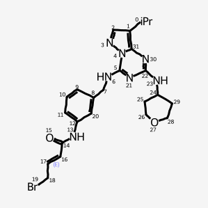 CC(C)c1cnn2c(NCc3cccc(NC(=O)/C=C/CBr)c3)nc(NC3CCOCC3)nc12